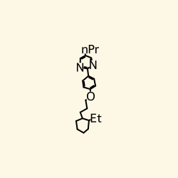 CCCc1cnc(-c2ccc(OCCCC3CCCCC3CC)cc2)nc1